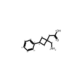 NCC1(CC(=O)O)CC(c2ccccc2)C1